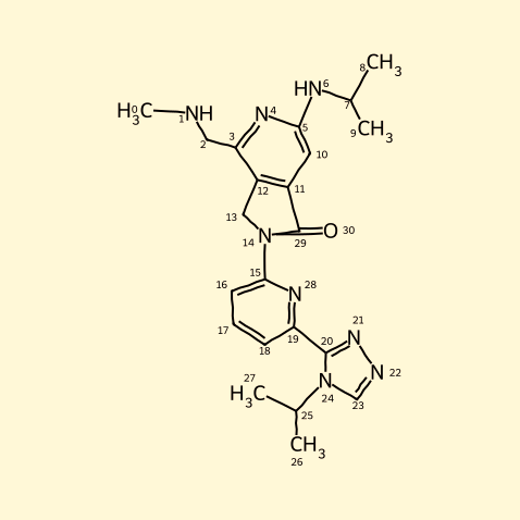 CNCc1nc(NC(C)C)cc2c1CN(c1cccc(-c3nncn3C(C)C)n1)C2=O